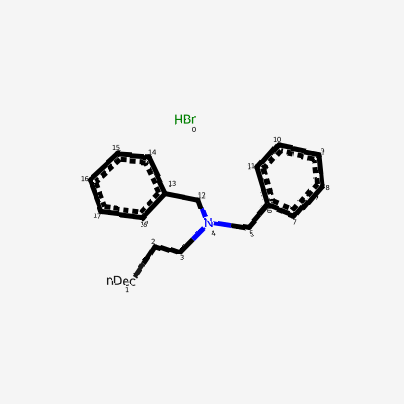 Br.CCCCCCCCCCCCN(Cc1ccccc1)Cc1ccccc1